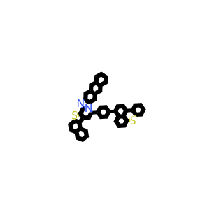 c1ccc2c(c1)Sc1cccc3c(-c4ccc(-c5cc6c(sc7ccc8ccccc8c76)c6nc7cc8cc9ccccc9cc8cc7n56)cc4)ccc-2c13